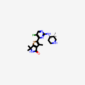 Cc1c(-c2nc(N[C@H]3CCNC[C@H]3C)ncc2F)sc2c1C(=O)NC2(C)C